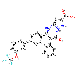 O=C(O)c1cc2[nH]c(-c3ccc(-c4cccc(OC(F)(F)F)c4)cc3)c(-c3ccccc3)c(=O)n2n1